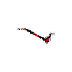 CCCCCCCCCCCCCCCCCCCCCCCCCCCCCCCCCCCCN1C(=O)CC(S(=O)(=O)CCCCO)C1=O